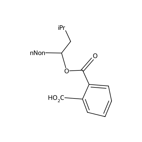 CCCCCCCCCC(CC(C)C)OC(=O)c1ccccc1C(=O)O